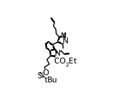 C=CCCCc1c(-c2cccc3c(CCCO[Si](C)(C)C(C)(C)C)c(C(=O)OCC)n(CC=C)c23)c(C)nn1C